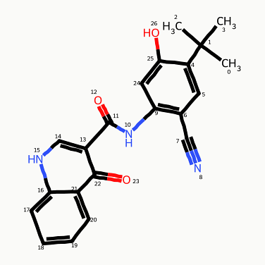 CC(C)(C)c1cc(C#N)c(NC(=O)c2c[nH]c3ccccc3c2=O)cc1O